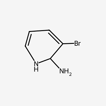 NC1NC=CC=C1Br